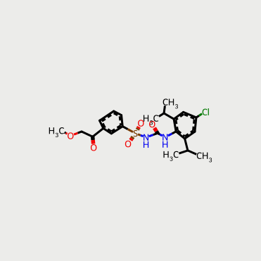 COCC(=O)c1cccc(S(=O)(=O)NC(=O)Nc2c(C(C)C)cc(Cl)cc2C(C)C)c1